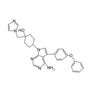 Nc1ncnc2c1c(-c1ccc(Oc3ccccc3)cc1)cn2C1CCC(O)(Cn2ccnc2)CC1